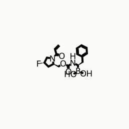 C=CC(=O)N1C[C@@H](F)C[C@@H]1COC(=O)N[C@@H](Cc1ccccc1)B(O)O